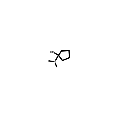 CN(C)C1(O)CCCC1